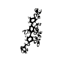 COc1cc(-c2ccc(OS(C)(=O)=O)cc2)c(OC)c(OS(C)(=O)=O)c1-c1ccc(OCc2ncon2)c(OS(C)(=O)=O)c1